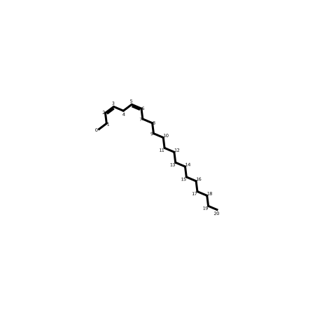 CC/C=C\C/C=C\CCCCCCCCCCCCCC